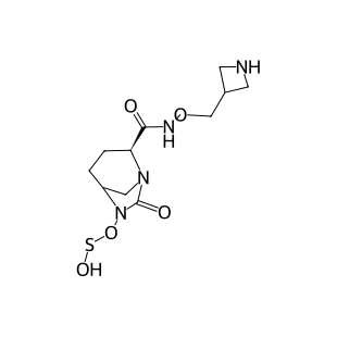 O=C(NOCC1CNC1)[C@@H]1CCC2CN1C(=O)N2OSO